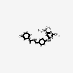 Cc1nc(NC2CCC(CNC(=O)c3cccc(Cl)c3)CC2)cc(N(C)C)n1